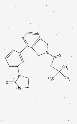 CC(C)(C)OC(=O)N1Cc2ncnc(-c3cccc(N4CCNC4=O)c3)c2C1